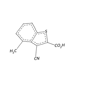 Cc1cccc2sc(C(=O)O)c(C#N)c12